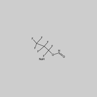 O=[SH]OC(F)(F)C(F)(F)C(F)(F)F.[NaH]